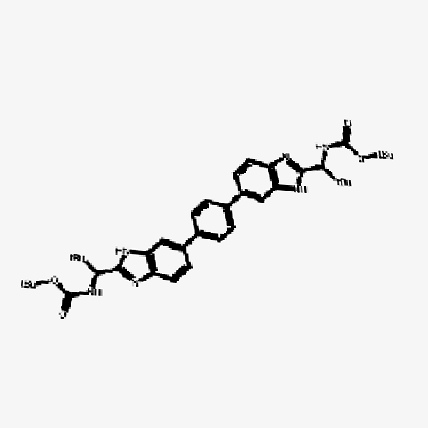 CC(C)(C)OC(=O)NC(c1nc2ccc(-c3ccc(-c4ccc5nc(C(NC(=O)OC(C)(C)C)C(C)(C)C)[nH]c5c4)cc3)cc2[nH]1)C(C)(C)C